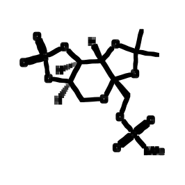 CNS(=O)(=O)OC[C@@]12OC[C@H]3OS(=O)(=O)O[C@H]3[C@@H]1OC(C)(C)O2